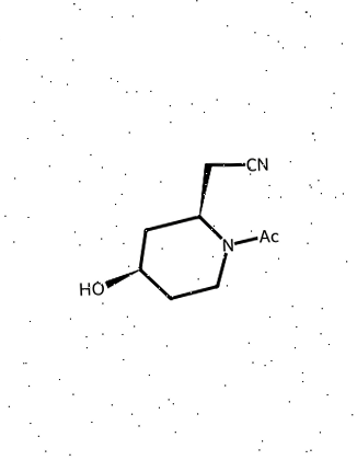 CC(=O)N1CC[C@@H](O)C[C@H]1CC#N